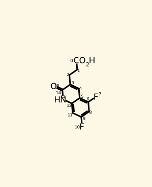 O=C(O)CCc1cc2c(F)cc(F)cc2[nH]c1=O